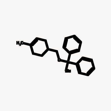 CC1=CCC(CO[Si](c2ccccc2)(c2ccccc2)C(C)(C)C)CC1